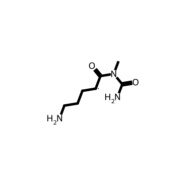 CN(C(N)=O)C(=O)[CH]CCCN